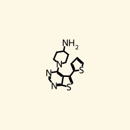 NC1CCN(c2ncnc3scc(-c4cccs4)c23)CC1